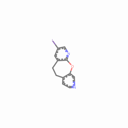 Ic1cnc2c(c1)CCc1ccncc1O2